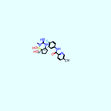 CN1C(=N)N[C@@]2(c3cc(NC(=O)c4ccc(C#N)cn4)ccc3F)CCC[C@H]2S1(O)O